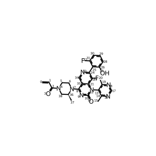 C=CC(=O)N1CCN(c2nc(=O)n(-c3c(C)ncnc3C)c3c(F)c(-c4c(O)cccc4F)ncc23)[C@@H](C)C1